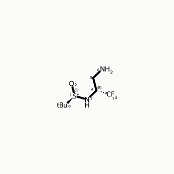 CC(C)(C)[S@@+]([O-])N[C@H](CN)C(F)(F)F